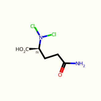 NC(=O)CC[C@@H](C(=O)O)N(Cl)Cl